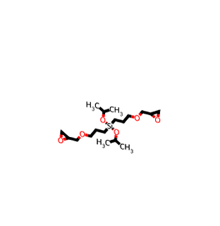 CC(C)O[Si](CCCOCC1CO1)(CCCOCC1CO1)OC(C)C